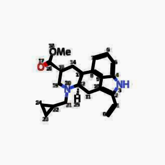 C=Cc1[nH]c2cccc3c2c1C[C@@H]1C3C[C@H](C(=O)OC)CN1CC1CC1